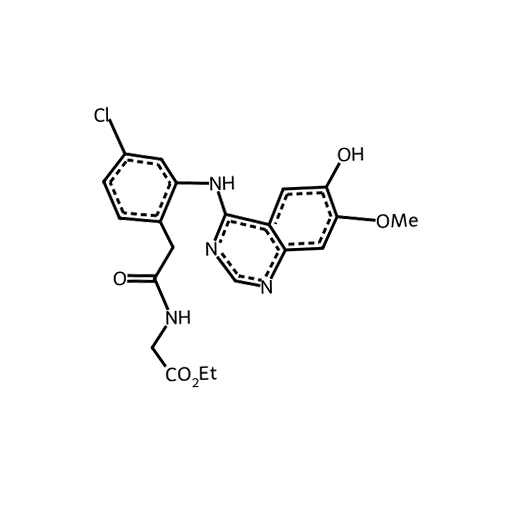 CCOC(=O)CNC(=O)Cc1ccc(Cl)cc1Nc1ncnc2cc(OC)c(O)cc12